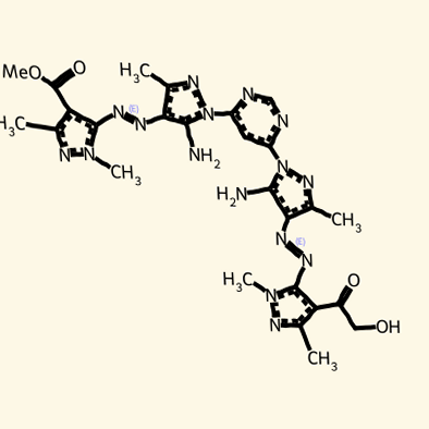 COC(=O)c1c(C)nn(C)c1/N=N/c1c(C)nn(-c2cc(-n3nc(C)c(/N=N/c4c(C(=O)CO)c(C)nn4C)c3N)ncn2)c1N